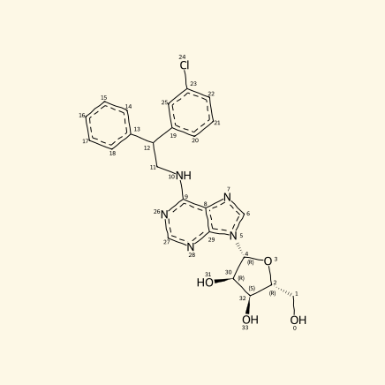 OC[C@H]1O[C@@H](n2cnc3c(NCC(c4ccccc4)c4cccc(Cl)c4)ncnc32)[C@H](O)[C@@H]1O